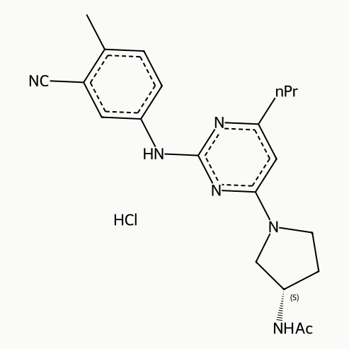 CCCc1cc(N2CC[C@H](NC(C)=O)C2)nc(Nc2ccc(C)c(C#N)c2)n1.Cl